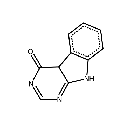 O=C1N=CN=C2Nc3ccccc3C12